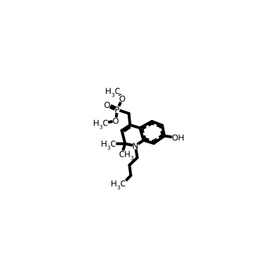 CCCCN1c2cc(O)ccc2C(CP(=O)(OC)OC)=CC1(C)C